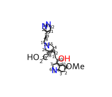 COc1ccc2nccc(C(O)CC[C@@H]3CCN(CC#Cc4ccnnc4)C[C@@H]3CC(=O)O)c2c1